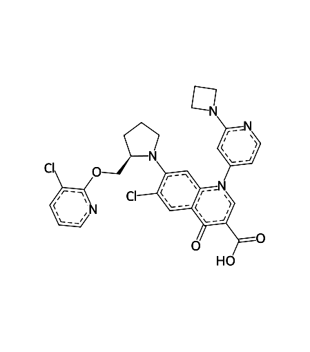 O=C(O)c1cn(-c2ccnc(N3CCC3)c2)c2cc(N3CCC[C@@H]3COc3ncccc3Cl)c(Cl)cc2c1=O